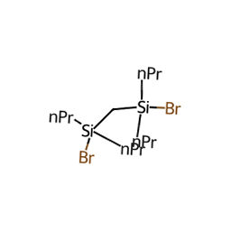 CCC[Si](Br)(CCC)C[Si](Br)(CCC)CCC